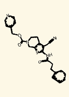 N#Cc1c(NC(=O)CCc2ccccc2)sc2c1CCN(C(=O)OCc1ccncc1)C2